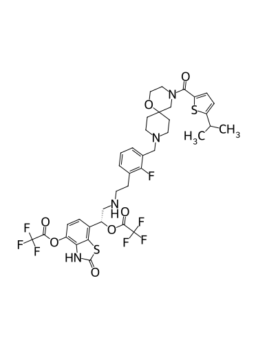 CC(C)c1ccc(C(=O)N2CCOC3(CCN(Cc4cccc(CCNC[C@H](OC(=O)C(F)(F)F)c5ccc(OC(=O)C(F)(F)F)c6[nH]c(=O)sc56)c4F)CC3)C2)s1